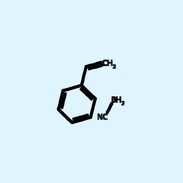 BC#N.C=Cc1ccccc1